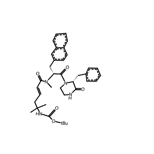 CN(C(=O)/C=C/CC(C)(C)NC(=O)OC(C)(C)C)[C@H](Cc1ccc2ccccc2c1)C(=O)N1CCNC(=O)[C@H]1Cc1ccccc1